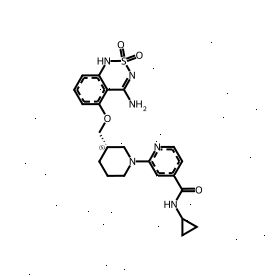 NC1=NS(=O)(=O)Nc2cccc(OC[C@H]3CCCN(c4cc(C(=O)NC5CC5)ccn4)C3)c21